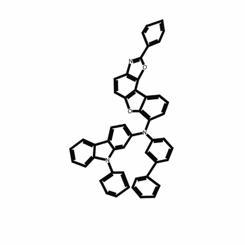 c1ccc(-c2cccc(N(c3ccc4c5ccccc5n(-c5ccccc5)c4c3)c3cccc4c3oc3ccc5nc(-c6ccccc6)oc5c34)c2)cc1